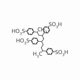 CC(CCC(CC(CC(C)c1ccc(S(=O)(=O)O)cc1)c1ccc(S(=O)(=O)O)cc1)c1ccc(S(=O)(=O)O)cc1)c1ccc(S(=O)(=O)O)cc1